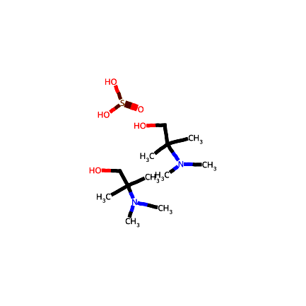 CN(C)C(C)(C)CO.CN(C)C(C)(C)CO.O=S(O)O